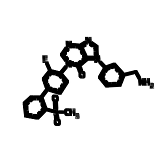 CS(=O)(=O)c1ccccc1-c1ccc(-n2cnc3ncn(-c4cccc(CN)c4)c3c2=O)c(F)c1